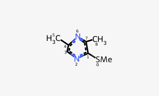 CSc1ncc(C)nc1C